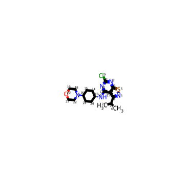 CC(C)c1nsc2nc(Cl)nc(N[C@H]3CC[C@H](N4CCOCC4)CC3)c12